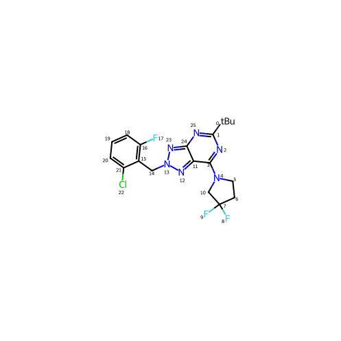 CC(C)(C)c1nc(N2CCC(F)(F)C2)c2nn(Cc3c(F)cccc3Cl)nc2n1